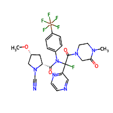 CO[C@@H]1C[C@H](C(=O)N(c2ccc(S(F)(F)(F)(F)F)cc2)C(F)(C(=O)N2CCN(C)C(=O)C2)c2cnccn2)N(C#N)C1